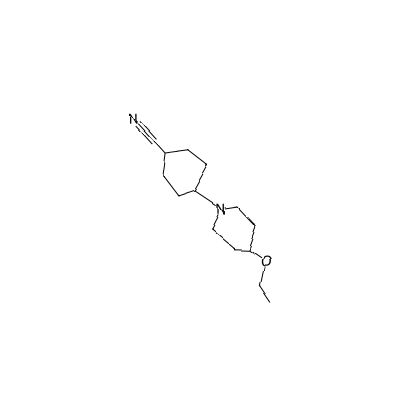 CCOC1CCN(C2CCC(C#N)CC2)CC1